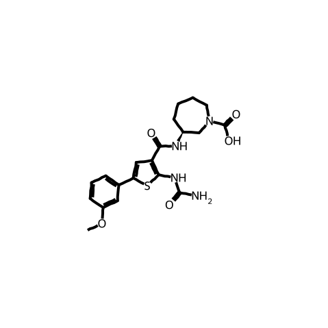 COc1cccc(-c2cc(C(=O)N[C@H]3CCCCN(C(=O)O)C3)c(NC(N)=O)s2)c1